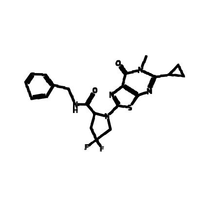 Cn1c(C2CC2)nc2sc(N3CC(F)(F)CC3C(=O)NCc3ccccc3)nc2c1=O